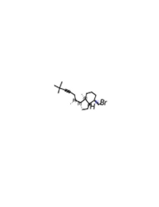 C[C@H](CC#CC(C)(C)C)[C@H]1CC[C@H]2/C(=C/Br)CCC[C@]12C